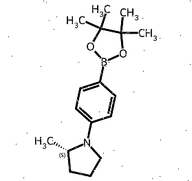 C[C@H]1CCCN1c1ccc(B2OC(C)(C)C(C)(C)O2)cc1